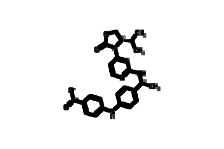 CC(C)[C@H]1COC(=O)N1c1ccnc(N[C@@H](C)c2ccc(Nc3ccc([N+](=O)[O-])cc3)cc2)n1